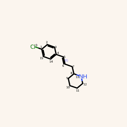 Clc1ccc(/C=C/CC2CCCCN2)cc1